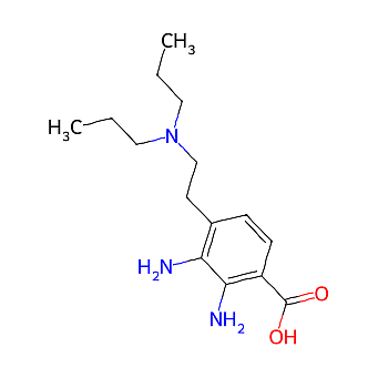 CCCN(CCC)CCc1ccc(C(=O)O)c(N)c1N